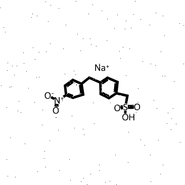 O=[N+]([O-])c1ccc(Cc2ccc(CS(=O)(=O)O)cc2)cc1.[Na+]